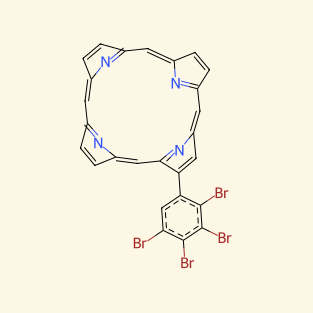 Brc1cc(C2=CC3=CC4=NC(=CC5=NC(=CC6=NC(=CC2=N3)C=C6)C=C5)C=C4)c(Br)c(Br)c1Br